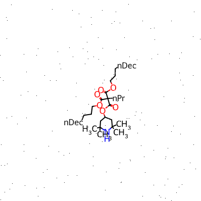 CCCCCCCCCCCCCOC(=O)C(CCC)(C(=O)OCCCCCCCCCCCCC)C(=O)OC1CC(C)(C)NC(C)(C)C1